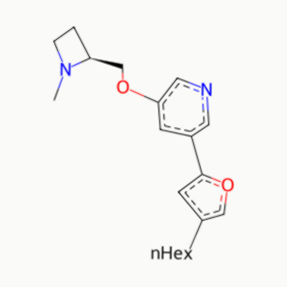 CCCCCCc1coc(-c2cncc(OC[C@@H]3CCN3C)c2)c1